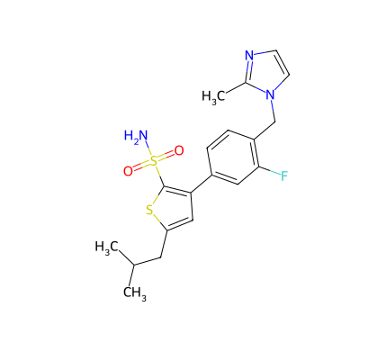 Cc1nccn1Cc1ccc(-c2cc(CC(C)C)sc2S(N)(=O)=O)cc1F